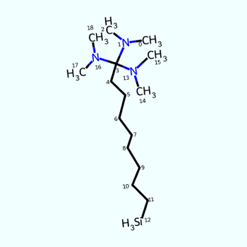 CN(C)C(CCCCCCCC[SiH3])(N(C)C)N(C)C